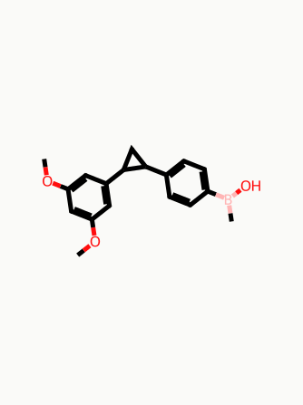 COc1cc(OC)cc(C2CC2c2ccc(B(C)O)cc2)c1